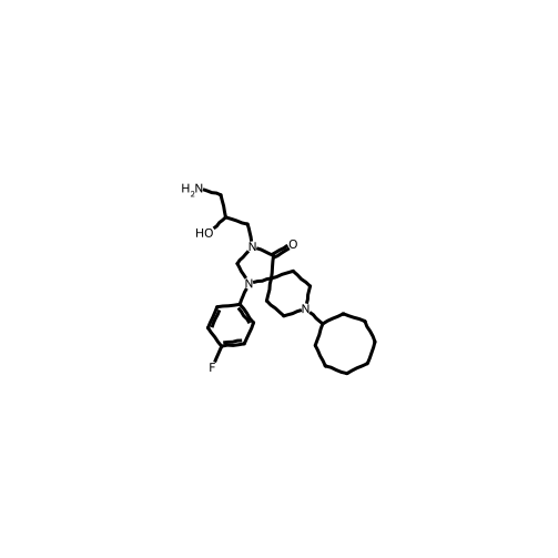 NCC(O)CN1CN(c2ccc(F)cc2)C2(CCN(C3CCCCCCC3)CC2)C1=O